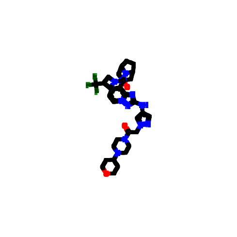 O=C(Cn1cc(Nc2nc3c(N4CC5CCC(C4)N5C(=O)N4CC(C(F)(F)F)C4)cccn3n2)cn1)N1CCN(C2CCOCC2)CC1